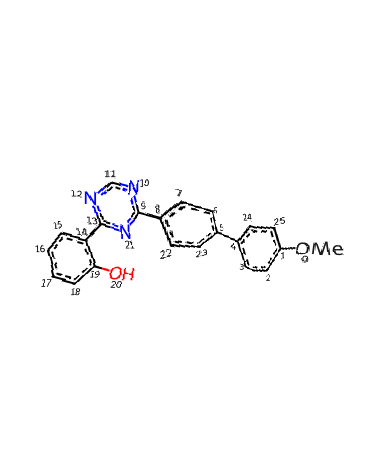 COc1ccc(-c2ccc(-c3ncnc(-c4ccccc4O)n3)cc2)cc1